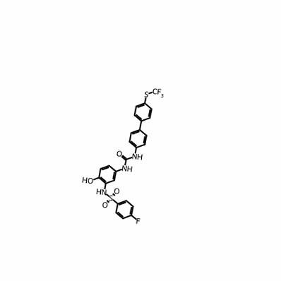 O=C(Nc1ccc(-c2ccc(SC(F)(F)F)cc2)cc1)Nc1ccc(O)c(NS(=O)(=O)c2ccc(F)cc2)c1